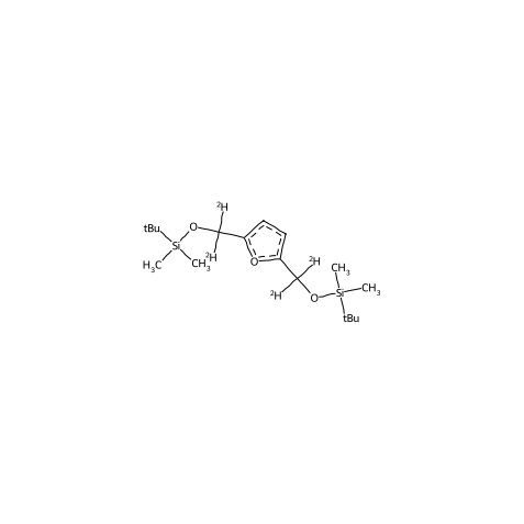 [2H]C([2H])(O[Si](C)(C)C(C)(C)C)c1ccc(C([2H])([2H])O[Si](C)(C)C(C)(C)C)o1